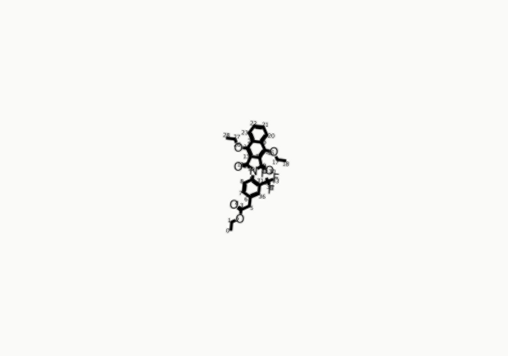 CCOC(=O)Cc1ccc(N2C(=O)c3c(c(OCC)c4ccccc4c3OCC)C2=O)c(C(F)(F)F)c1